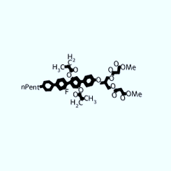 C=C(C)C(=O)Oc1cc(-c2ccc(C3CCC(CCCCC)CC3)cc2F)c(OC(=O)C(=C)C)cc1-c1ccc(OCC(COC(=O)CC(=O)OC)COC(=O)CC(=O)OC)cc1